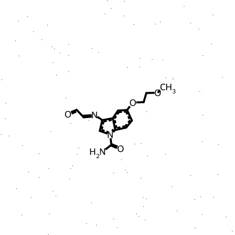 COCCOc1ccc2c(c1)c(N=CC=O)cn2C(N)=O